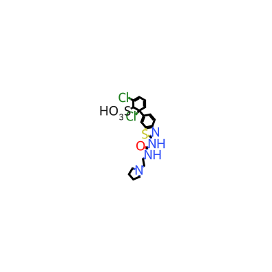 O=C(NCCN1CCCC1)Nc1nc2ccc(C3(Cl)C=CC=C(Cl)C3S(=O)(=O)O)cc2s1